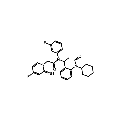 CC(c1ccccc1N(C=O)C1CCCCC1)N(C(=O)Cn1ccc(F)cc1=N)c1cccc(F)c1